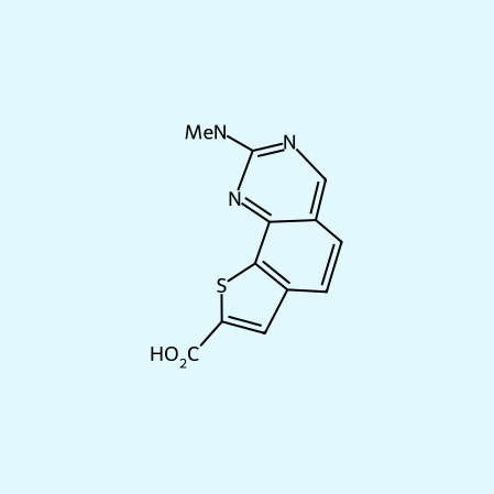 CNc1ncc2ccc3cc(C(=O)O)sc3c2n1